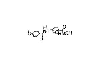 COc1ccc(C(NCCc2ccc(C(=O)NO)cc2)C(C)=O)cc1